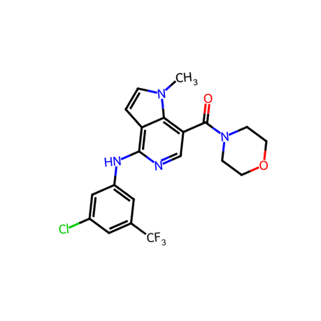 Cn1ccc2c(Nc3cc(Cl)cc(C(F)(F)F)c3)ncc(C(=O)N3CCOCC3)c21